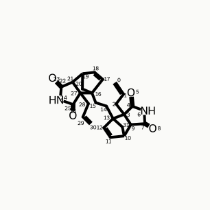 C=CCC12C(=O)NC(=O)C1C1C=CC2(CCC23C=CC(C2)C2C(=O)NC(=O)C23CC=C)C1